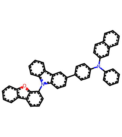 c1ccc(N(c2ccc(-c3ccc4c(c3)c3ccccc3n4-c3cccc4c3oc3ccccc34)cc2)c2ccc3ccccc3c2)cc1